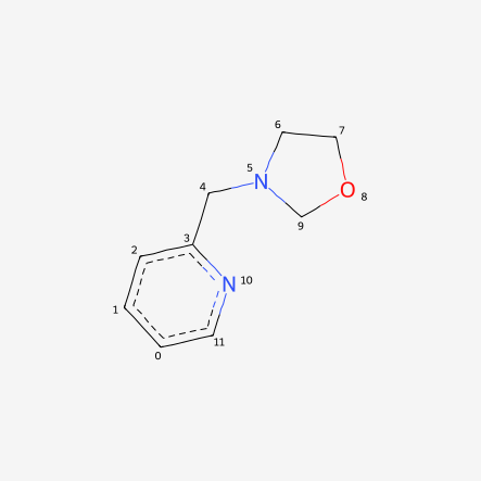 c1ccc(CN2CCOC2)nc1